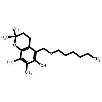 CCCCCCSCc1c(O)c(C)c(C)c2c1CCC(C)(C)O2